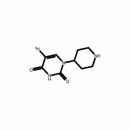 [2H]c1cn(C2CCNCC2)c(=O)[nH]c1=O